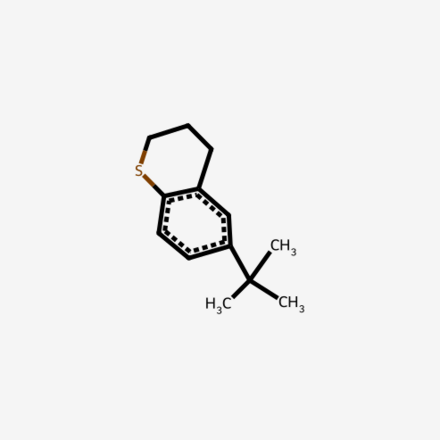 CC(C)(C)c1ccc2c(c1)CCCS2